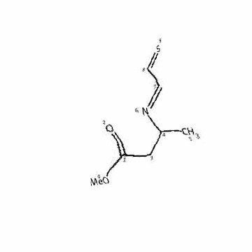 COC(=O)CC(C)N=CC=S